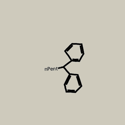 [CH2]CCCCC(c1ccccc1)c1ccccc1